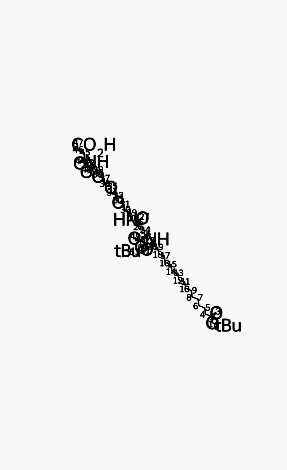 CC(C)(C)OC(=O)CCCCCCCCCCCCCCCCC(=O)NC(CCC(=O)NCCCOCCOCCOCC(=O)NC(=O)CCC(=O)O)C(=O)OC(C)(C)C